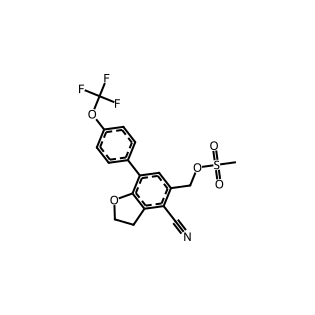 CS(=O)(=O)OCc1cc(-c2ccc(OC(F)(F)F)cc2)c2c(c1C#N)CCO2